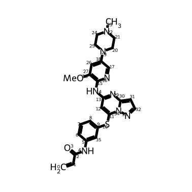 C=CC(=O)Nc1cccc(Sc2cc(Nc3ncc(N4CCN(C)CC4)cc3OC)nc3ccnn23)c1